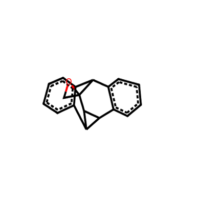 c1ccc2c(c1)C1C3c4ccccc4C2C2(CO2)C13